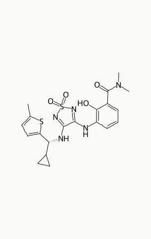 Cc1ccc([C@H](NC2=NS(=O)(=O)N=C2Nc2cccc(C(=O)N(C)C)c2O)C2CC2)s1